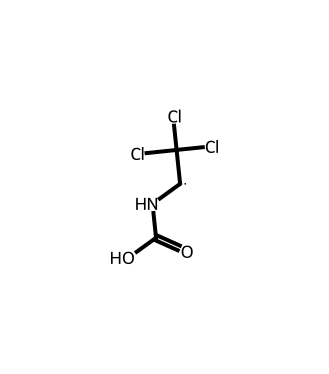 O=C(O)N[CH]C(Cl)(Cl)Cl